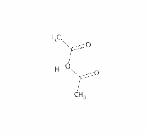 CC(=O)OC(C)=O.[H]